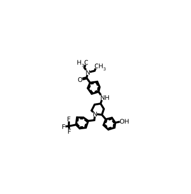 CCN(CC)C(=O)c1ccc(NC2CCN(Cc3ccc(C(F)(F)F)cc3)C(c3cccc(O)c3)C2)cc1